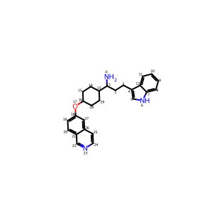 NC(CCc1c[nH]c2ccccc12)C1CCC(Oc2ccc3cnccc3c2)CC1